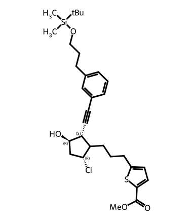 COC(=O)c1ccc(CCCC2[C@H](Cl)C[C@@H](O)[C@@H]2C#Cc2cccc(CCCO[Si](C)(C)C(C)(C)C)c2)s1